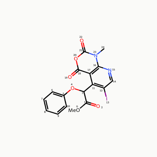 COC(=O)C(Oc1ccccc1)c1c(I)cnc2c1c(=O)oc(=O)n2C